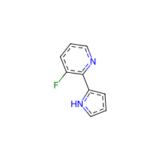 Fc1cccnc1-c1ccc[nH]1